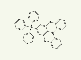 c1ccc(S(c2ccccc2)(c2ccccc2)c2cc3c4c(c2)Oc2ccccc2B4c2ccccc2O3)cc1